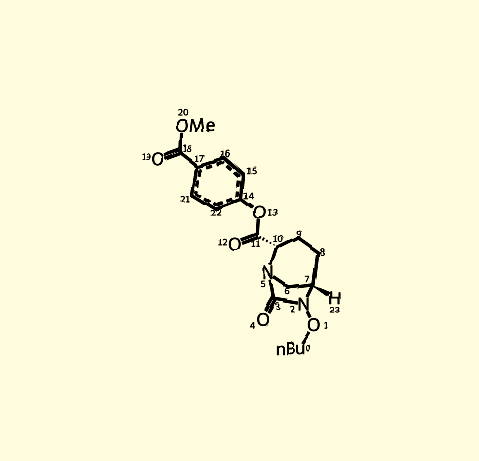 CCCCON1C(=O)N2C[C@@H]1CC[C@H]2C(=O)Oc1ccc(C(=O)OC)cc1